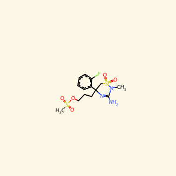 CN1C(N)=NC(CCCOS(C)(=O)=O)(c2ccccc2F)CS1(=O)=O